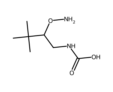 CC(C)(C)C(CNC(=O)O)ON